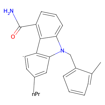 CCCc1c[c]c2c3c(C(N)=O)cccc3n(Cc3ccccc3C)c2c1